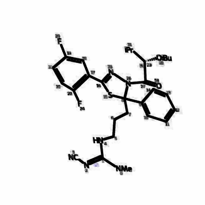 CN/C(=N/C#N)NCCCC1(c2ccccc2)SC(c2cc(F)ccc2F)=NN1C(=O)[C@@H](OCC(C)C)C(C)C